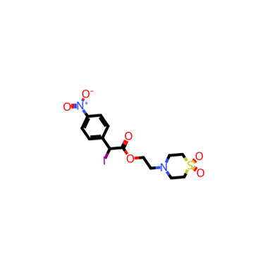 O=C(OCCN1CCS(=O)(=O)CC1)C(I)c1ccc([N+](=O)[O-])cc1